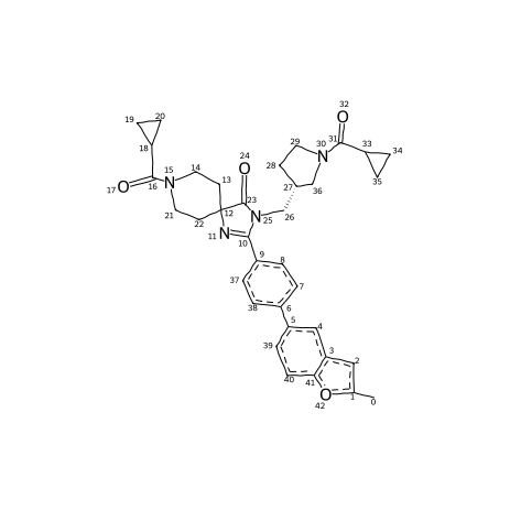 Cc1cc2cc(-c3ccc(C4=NC5(CCN(C(=O)C6CC6)CC5)C(=O)N4C[C@@H]4CCN(C(=O)C5CC5)C4)cc3)ccc2o1